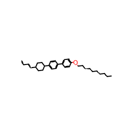 CCCCCCCCCCOc1ccc(-c2ccc(C3CCC(CCCC)CC3)cc2)cc1